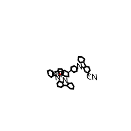 N#Cc1ccc2c3ccccc3n(-c3ccc(-c4ccc(C#N)c(-n5c6ccccc6c6cccc(-n7c8ccccc8c8ccccc87)c65)c4)cc3)c2c1